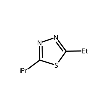 CCc1nnc(C(C)C)s1